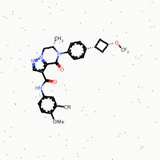 COc1ccc(NC(=O)c2cnn3c2C(=O)N(c2ccc([C@H]4C[C@@H](OC(F)(F)F)C4)cc2)[C@@H](C)C3)cc1C#N